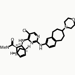 CNC(=O)[C@H]1[C@@H](Nc2nc(Nc3ccc4c(c3)CCC(N3CCOCC3)CC4)ncc2Cl)[C@@H]2C=C[C@H]1C2